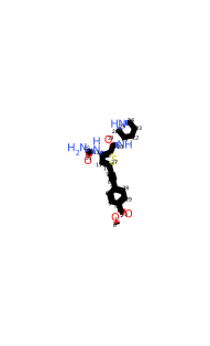 COC(=O)c1ccc(C#Cc2cc(NC(N)=O)c(C(=O)N[C@H]3CCCNC3)s2)cc1